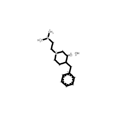 CN(C)CCN1CCC(Cc2ccccc2)CC1.Cl.Cl